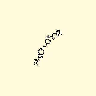 Cc1nnc(CC(=O)N[C@H]2CC[C@H](CCN3CCc4nc(O[C@@H](C)C(F)(F)F)sc4CC3)CC2)o1